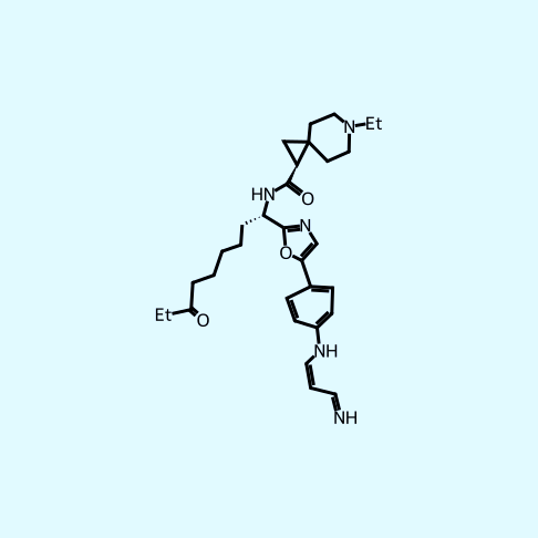 CCC(=O)CCCCC[C@H](NC(=O)[C@H]1CC12CCN(CC)CC2)c1ncc(-c2ccc(N/C=C\C=N)cc2)o1